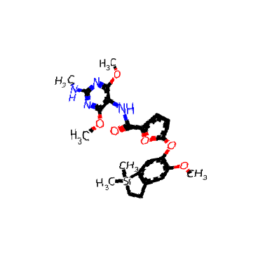 CNc1nc(OC)c(NC(=O)c2ccc(Oc3cc4c(cc3OC)CC[Si]4(C)C)o2)c(OC)n1